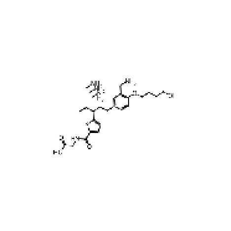 CCC(CCc1ccc(OCCCCO)c(CN)c1)c1ccc(C(=O)NCC(=O)O)s1.CN.CN.CN